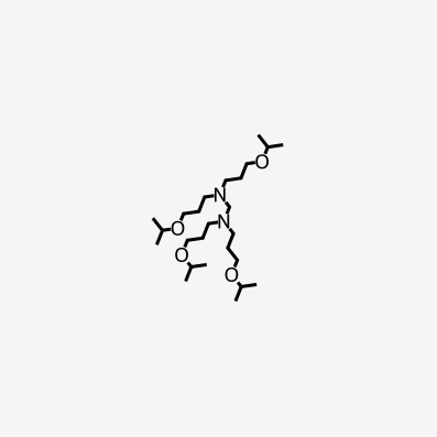 CC(C)OCCCN(CCCOC(C)C)CN(CCCOC(C)C)CCCOC(C)C